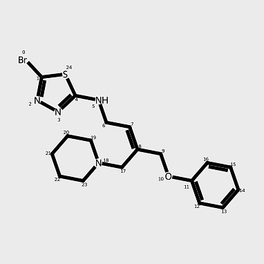 Brc1nnc(NCC=C(COc2ccccc2)CN2CCCCC2)s1